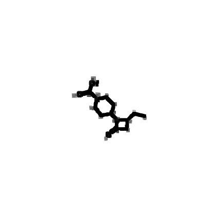 CC[C@H]1CC(=O)N1C1CCN(C(=O)O)CC1